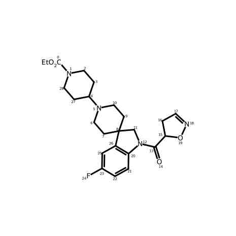 CCOC(=O)N1CCC(N2CCC3(CC2)CN(C(=O)C2CC=NO2)c2ccc(F)cc23)CC1